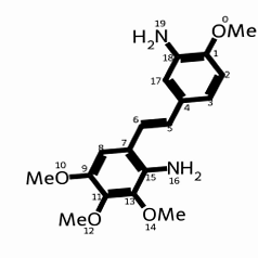 COc1ccc(/C=C/c2cc(OC)c(OC)c(OC)c2N)cc1N